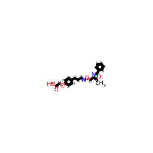 Cc1oc(-c2ccccc2)nc1CON=CCCc1ccc(OCC(=O)O)cc1